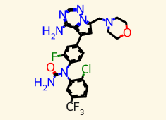 NC(=O)N(c1ccc(-c2cc(CN3CCOCC3)n3ncnc(N)c23)cc1F)c1cc(C(F)(F)F)ccc1Cl